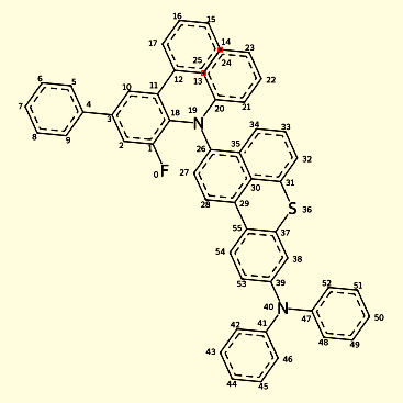 Fc1cc(-c2ccccc2)cc(-c2ccccc2)c1N(c1ccccc1)c1ccc2c3c(cccc13)Sc1cc(N(c3ccccc3)c3ccccc3)ccc1-2